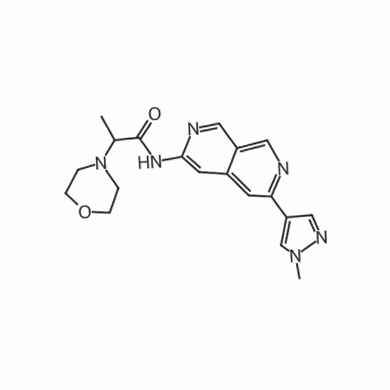 CC(C(=O)Nc1cc2cc(-c3cnn(C)c3)ncc2cn1)N1CCOCC1